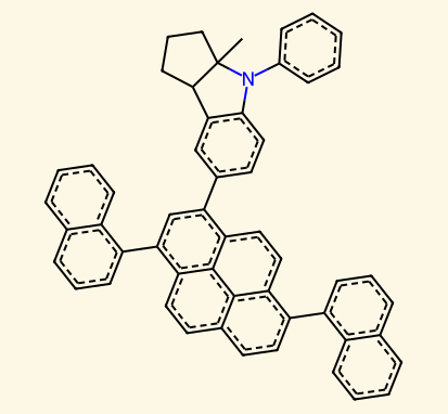 CC12CCCC1c1cc(-c3cc(-c4cccc5ccccc45)c4ccc5ccc(-c6cccc7ccccc67)c6ccc3c4c56)ccc1N2c1ccccc1